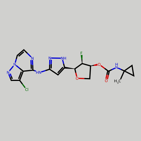 CC1(NC(=O)O[C@H]2CO[C@@H](c3cc(Nc4nccn5ncc(Cl)c45)n[nH]3)[C@H]2F)CC1